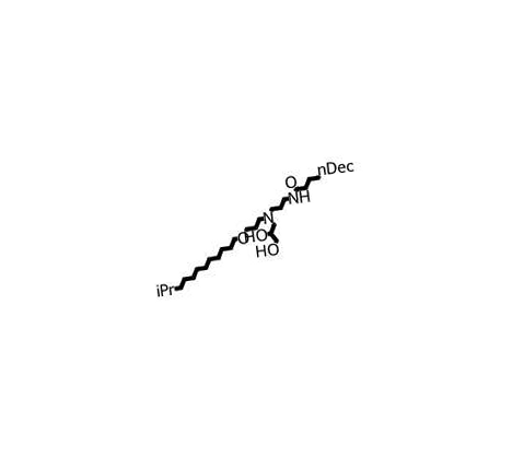 CCCCCCCCCCCCCC(=O)NCCCN(CCCOCCCCCCCCCCC(C)C)CC(O)CO